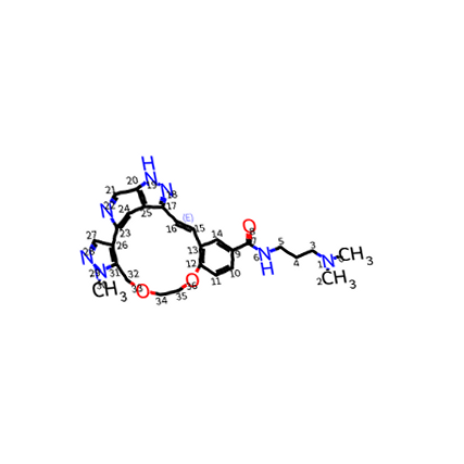 CN(C)CCCNC(=O)c1ccc2c(c1)/C=C/c1n[nH]c3cnc(cc13)-c1cnn(C)c1COCCO2